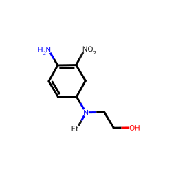 CCN(CCO)C1C=CC(N)=C([N+](=O)[O-])C1